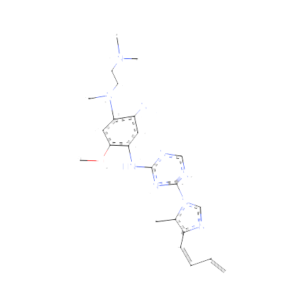 C=C/C=C\c1ncn(-c2ncnc(Nc3cc(N)c(N(C)CCN(C)C)cc3OC)n2)c1C